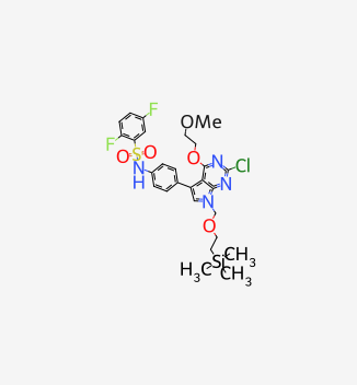 COCCOc1nc(Cl)nc2c1c(-c1ccc(NS(=O)(=O)c3cc(F)ccc3F)cc1)cn2COCC[Si](C)(C)C